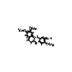 COc1ccc(C[C@H]2c3cc(OC)c(OC)cc3CCN2C)cc1O